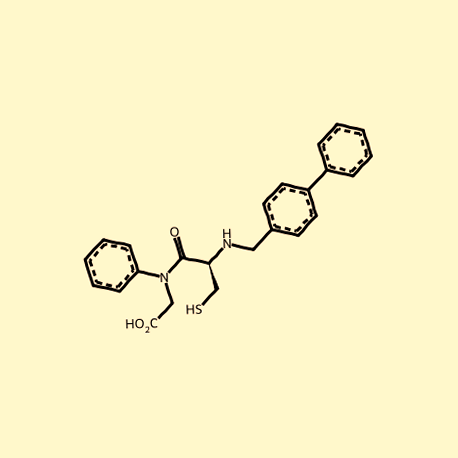 O=C(O)CN(C(=O)[C@H](CS)NCc1ccc(-c2ccccc2)cc1)c1ccccc1